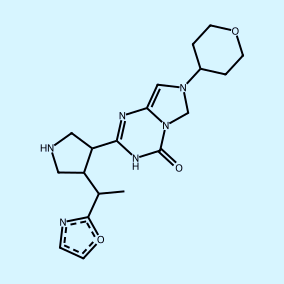 CC(c1ncco1)C1CNCC1C1=NC2=CN(C3CCOCC3)CN2C(=O)N1